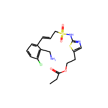 CCC(=O)OCCc1cnc(NS(=O)(=O)CC=Cc2cccc(Cl)c2CN)s1